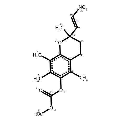 Cc1c(C)c2c(c(C)c1OC(=O)OC(C)(C)C)CCC(C)(/C=C/[N+](=O)[O-])O2